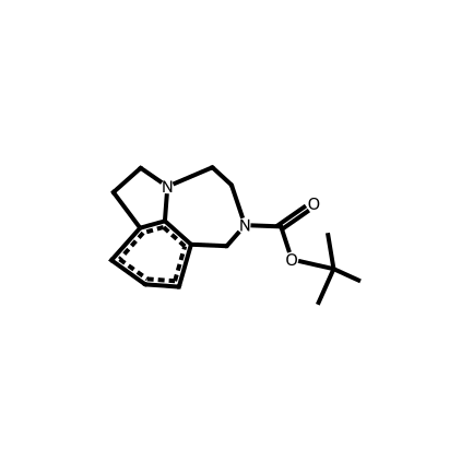 CC(C)(C)OC(=O)N1CCN2CCc3cccc(c32)C1